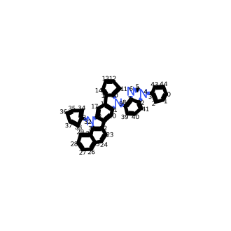 c1ccc(-n2cnc3c(-n4c5ccccc5c5cc6c(cc54)c4ccc5ccccc5c4n6-c4ccccc4)cccc32)cc1